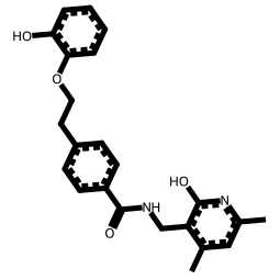 Cc1cc(C)c(CNC(=O)c2ccc(CCOc3ccccc3O)cc2)c(O)n1